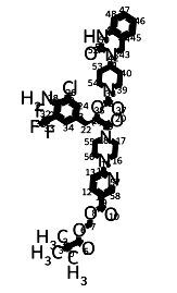 CC(C)(C)C(=O)OCOC(=O)c1ccc(N2CCN(C(=O)[C@@H](Cc3cc(Cl)c(N)c(C(F)(F)F)c3)OC(=O)N3CCC(N4Cc5ccccc5NC4=O)CC3)CC2)nc1